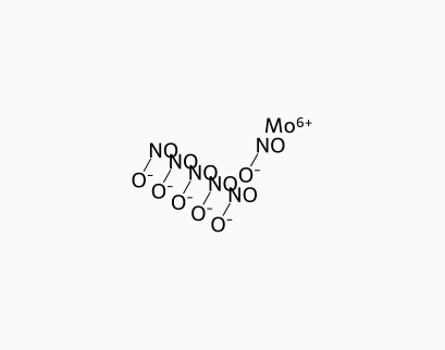 O=N[O-].O=N[O-].O=N[O-].O=N[O-].O=N[O-].O=N[O-].[Mo+6]